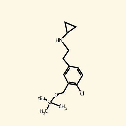 CC(C)(C)[Si](C)(C)OCc1cc(CCNC2CC2)ccc1Cl